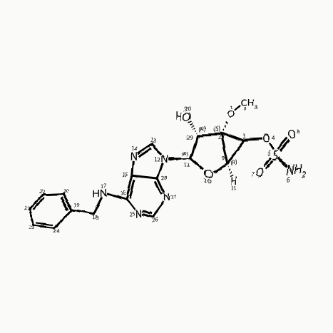 CO[C@]12C(OS(N)(=O)=O)[C@H]1O[C@@H](n1cnc3c(NCc4ccccc4)ncnc31)[C@@H]2O